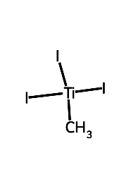 [CH3][Ti]([I])([I])[I]